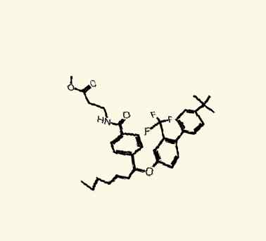 CCCCCCC(Oc1ccc(-c2ccc(C(C)(C)C)cc2)c(C(F)(F)F)c1)c1ccc(C(=O)NCCC(=O)OC)cc1